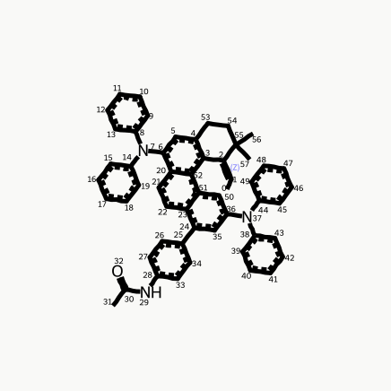 C/C=C1\c2c(cc(N(c3ccccc3)c3ccccc3)c3ccc4c(-c5ccc(NC(C)=O)cc5)cc(N(c5ccccc5)c5ccccc5)cc4c23)CCC1(C)C